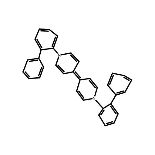 C1=CN(c2ccccc2-c2ccccc2)C=CC1=C1C=CN(c2ccccc2-c2ccccc2)C=C1